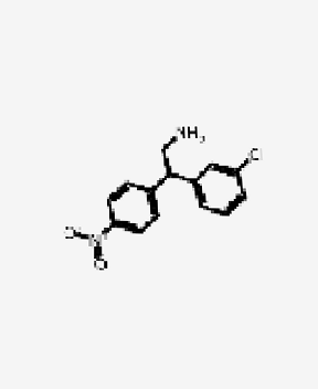 NCC(c1ccc([N+](=O)[O-])cc1)c1cccc(Cl)c1